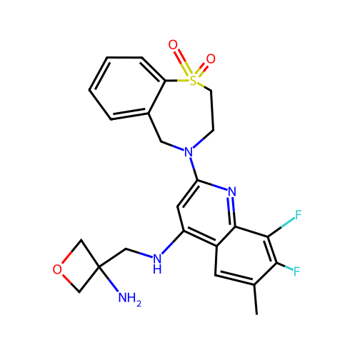 Cc1cc2c(NCC3(N)COC3)cc(N3CCS(=O)(=O)c4ccccc4C3)nc2c(F)c1F